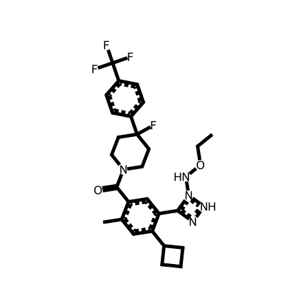 CCONn1[nH]nc1-c1cc(C(=O)N2CCC(F)(c3ccc(C(F)(F)F)cc3)CC2)c(C)cc1C1CCC1